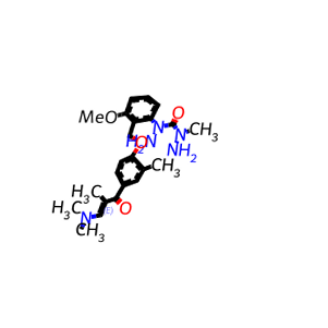 COc1cccc(N(N)C(=O)N(C)N)c1COc1ccc(C(=O)/C(C)=C/N(C)C)cc1C